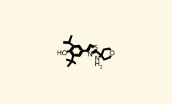 C=C(C)c1cc(-c2csc(C3(N)CCOCC3)n2)cc(C(C)(C)C)c1O